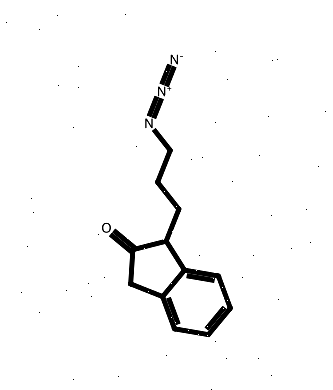 [N-]=[N+]=NCCCC1C(=O)Cc2ccccc21